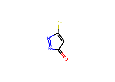 O=C1C=C(S)N=N1